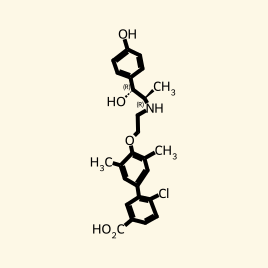 Cc1cc(-c2cc(C(=O)O)ccc2Cl)cc(C)c1OCCN[C@H](C)[C@H](O)c1ccc(O)cc1